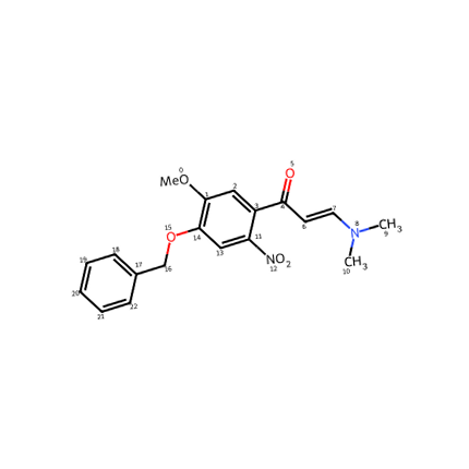 COc1cc(C(=O)C=CN(C)C)c([N+](=O)[O-])cc1OCc1ccccc1